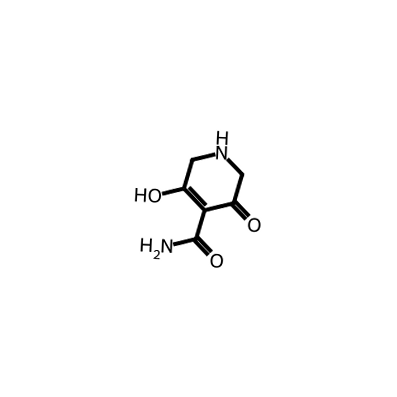 NC(=O)C1=C(O)CNCC1=O